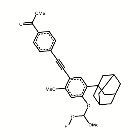 CCOC(OC)Oc1cc(OC)c(C#Cc2ccc(C(=O)OC)cc2)cc1C12CC3CC(CC(C3)C1)C2